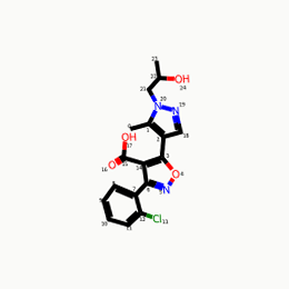 Cc1c(-c2onc(-c3ccccc3Cl)c2C(=O)O)cnn1CC(C)O